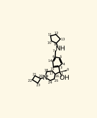 C[C@](O)(c1ccc(CNC2CCCC2)cc1)C1CCN(C2CCC2)CC1